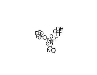 CC(C)C[C@@H]1C(=O)N(c2ccc(S(=O)(=O)C(F)(F)F)cc2)C(=O)N1Cc1ccnc2ccccc12.O=C(O)C(F)(F)F